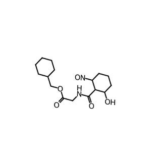 O=NC1CCCC(O)C1C(=O)NCC(=O)OCC1CCCCC1